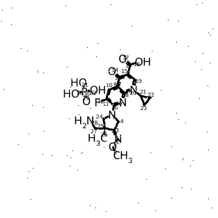 CO/N=C1/CN(c2nc3c(cc2F)c(=O)c(C(=O)O)cn3C2CC2)C[C@@]1(C)CN.O=P(O)(O)O